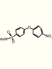 CNS(=O)(=O)c1ccc(Oc2ccc([N+](=O)[O-])cc2)cc1